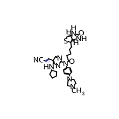 CN1CCN(c2ccc(N(C(=O)CCCCC3SC[C@@H]4NC(=O)N[C@H]34)c3ncc(/C=C/C#N)c(NC4CCCC4)n3)cc2)CC1